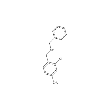 Cc1ccc(CNCc2ccccc2)c(Cl)c1